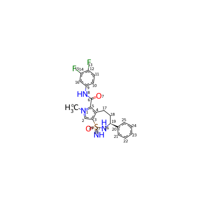 Cn1cc2c(c1C(=O)Nc1ccc(F)c(F)c1)CC[C@@H](c1ccccc1)NS2(=N)=O